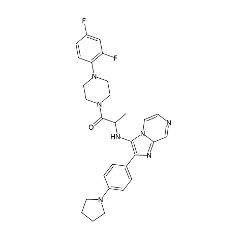 CC(Nc1c(-c2ccc(N3CCCC3)cc2)nc2cnccn12)C(=O)N1CCN(c2ccc(F)cc2F)CC1